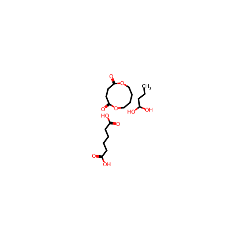 CCCC(O)O.O=C(O)CCCCC(=O)O.O=C1CCC(=O)OCCCCO1